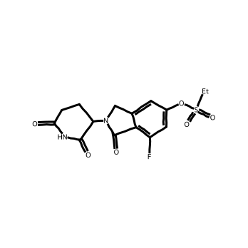 CCS(=O)(=O)Oc1cc(F)c2c(c1)CN(C1CCC(=O)NC1=O)C2=O